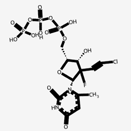 Cc1cc(=O)[nH]c(=O)n1[C@@H]1O[C@H](COP(=O)(O)OP(=O)(O)OP(=O)(O)O)[C@H](O)C1(F)C#CCl